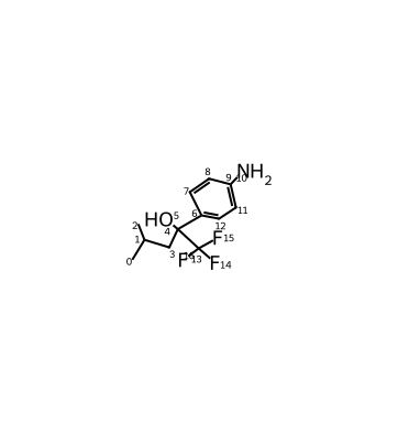 CC(C)CC(O)(c1ccc(N)cc1)C(F)(F)F